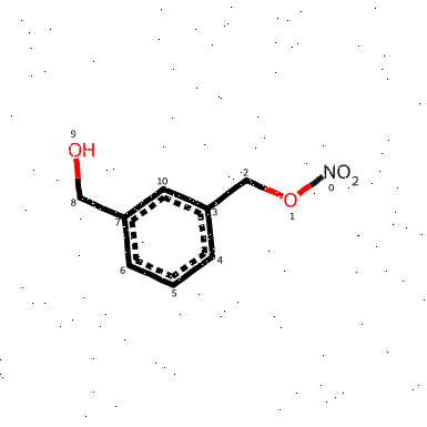 O=[N+]([O-])OCc1cccc(CO)c1